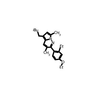 CCOc1ccc(-c2nn3c(C)cc(CC(C)CC)c3cc2C)c(CC)c1